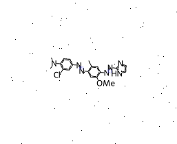 COc1cc(/N=N/c2ccc(N(C)C)c(Cl)c2)c(C)cc1/N=N/c1ncc[nH]1